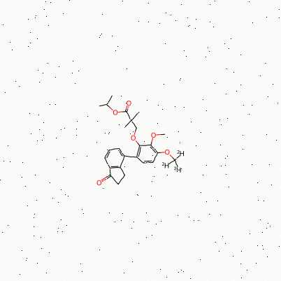 [2H]C([2H])([2H])Oc1ccc(-c2cccc3c2CCC3=O)c(OCC(C)(C)C(=O)OC(C)C)c1OC